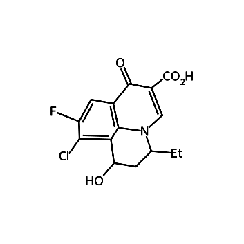 CCC1CC(O)c2c(Cl)c(F)cc3c(=O)c(C(=O)O)cn1c23